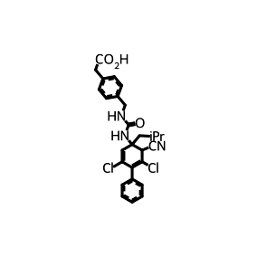 CC(C)CC1(NC(=O)NCc2ccc(CC(=O)O)cc2)C=C(Cl)C(c2ccccc2)=C(Cl)C1C#N